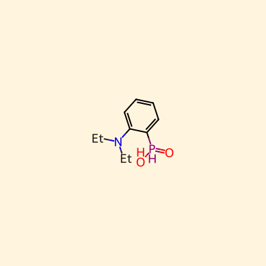 CCN(CC)c1ccccc1[PH](=O)O